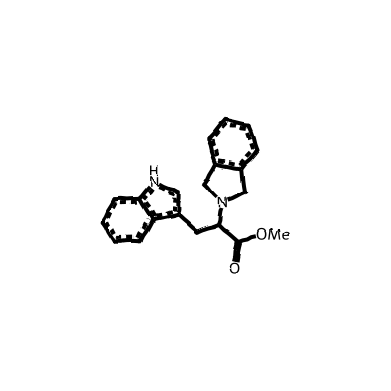 COC(=O)C(Cc1c[nH]c2ccccc12)N1Cc2ccccc2C1